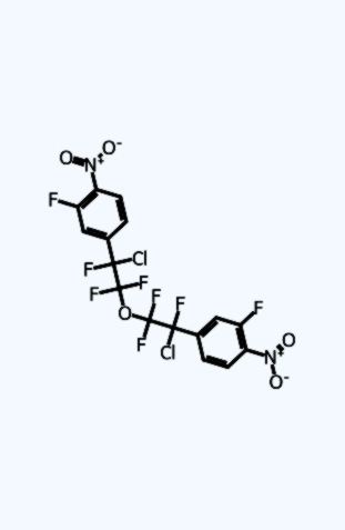 O=[N+]([O-])c1ccc(C(F)(Cl)C(F)(F)OC(F)(F)C(F)(Cl)c2ccc([N+](=O)[O-])c(F)c2)cc1F